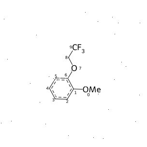 COc1ccccc1OCC(F)(F)F